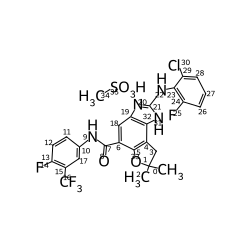 CC1(C)Cc2c(c(C(=O)Nc3ccc(F)c(C(F)(F)F)c3)cc3nc(Nc4c(F)cccc4Cl)[nH]c23)O1.CS(=O)(=O)O